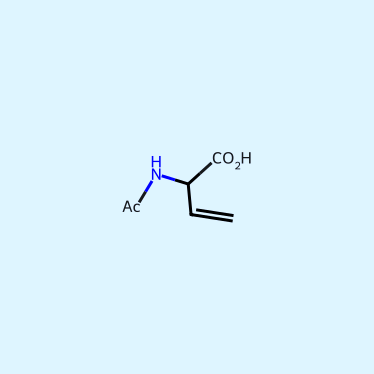 C=CC(NC(C)=O)C(=O)O